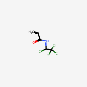 C=CC(=O)NC(Cl)C(Cl)(Cl)Cl